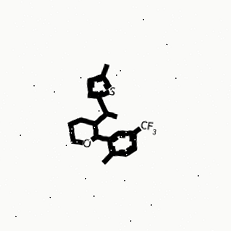 Cc1ccc(C(C)C2CCCOC2c2cc(C(F)(F)F)ccc2C)s1